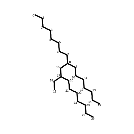 CCCCCCCCC(CCCCCCC)CC(CC)CCCCCCC